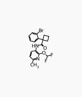 Cc1ccc(NC(=O)C2(c3ccccc3Br)CCC2)c(OC(F)F)n1